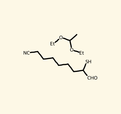 CCOC(C)OCC.N#CCCCCCCC(S)C=O